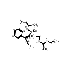 CCCC.CCOC(C)OCC.CN/C(=C/[N+](=O)[O-])c1ccccc1